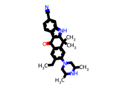 CCc1cc2c(cc1N1CC(C)NC(C)C1)C(C)(C)c1[nH]c3cc(C#N)ccc3c1C2=O